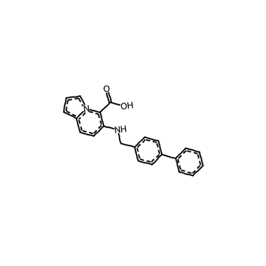 O=C(O)c1c(NCc2ccc(-c3ccccc3)cc2)ccc2cccn12